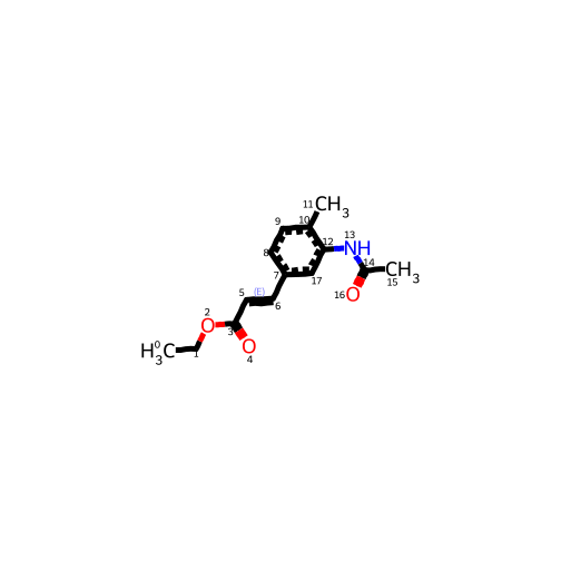 CCOC(=O)/C=C/c1ccc(C)c(NC(C)=O)c1